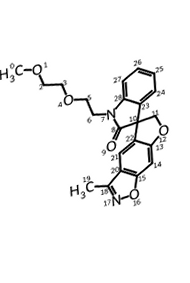 COCCOCCN1C(=O)C2(COc3cc4onc(C)c4cc32)c2ccccc21